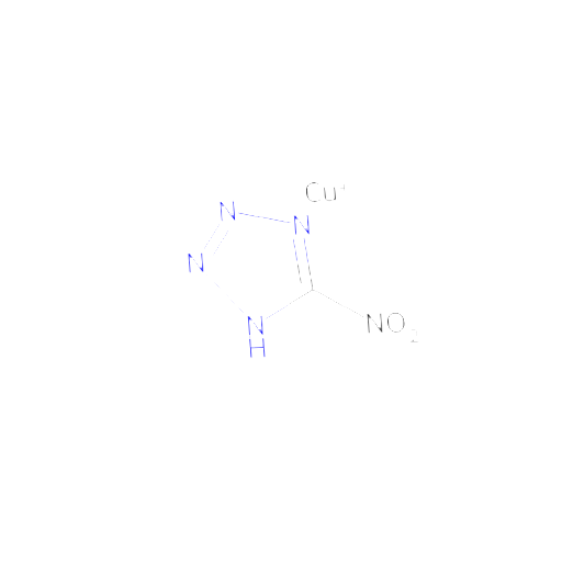 O=[N+]([O-])c1nnn[nH]1.[Cu+]